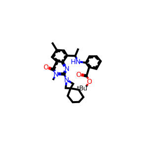 Cc1cc(C(C)Nc2ccccc2C(=O)OC(C)(C)C)c2nc(N3CC4(CCCCC4)C3)n(C)c(=O)c2c1